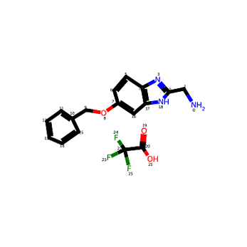 NCc1nc2ccc(OCc3ccccc3)cc2[nH]1.O=C(O)C(F)(F)F